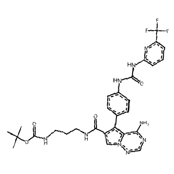 CC(C)(C)OC(=O)NCCCNC(=O)c1cn2ncnc(N)c2c1-c1ccc(NC(=O)Nc2cccc(C(F)(F)F)n2)cc1